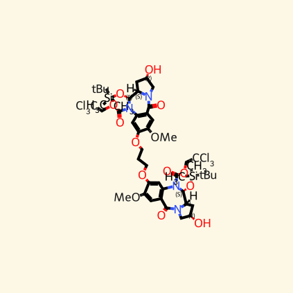 COc1cc2c(cc1OCCCOc1cc3c(cc1OC)C(=O)N1C[C@H](O)C[C@H]1[C@H](O[Si](C)(C)C(C)(C)C)N3C(=O)OCC(Cl)(Cl)Cl)N(C(=O)OCC(Cl)(Cl)Cl)[C@@H](O[Si](C)(C)C(C)(C)C)[C@@H]1C[C@@H](O)CN1C2=O